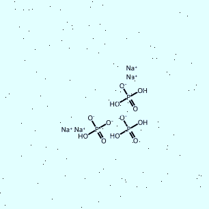 O=P([O-])(O)O.O=P([O-])(O)O.O=P([O-])([O-])O.[Na+].[Na+].[Na+].[Na+]